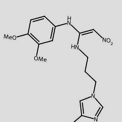 COc1ccc(N/C(=C/[N+](=O)[O-])NCCCn2cnc(C)c2)cc1OC